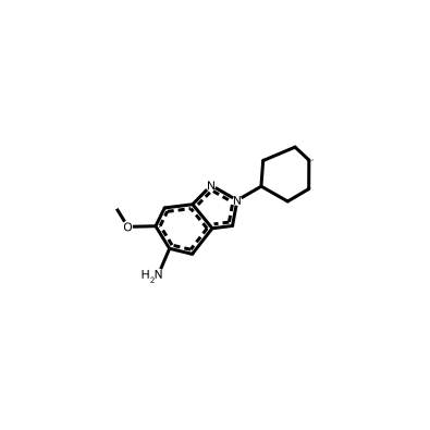 COc1cc2nn(C3CC[CH]CC3)cc2cc1N